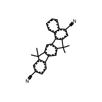 CC1(C)c2cc(C#N)ccc2-c2cc3c(cc21)-c1c(cc(C#N)c2ccccc12)C3(C)C